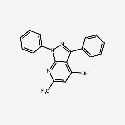 Oc1cc(C(F)(F)F)nc2c1c(-c1ccccc1)nn2-c1ccccc1